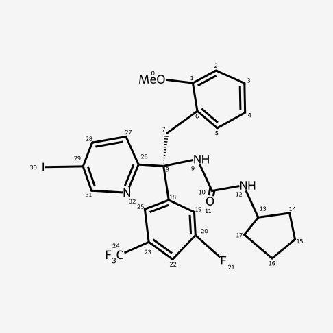 COc1ccccc1C[C@](NC(=O)NC1CCCC1)(c1cc(F)cc(C(F)(F)F)c1)c1ccc(I)cn1